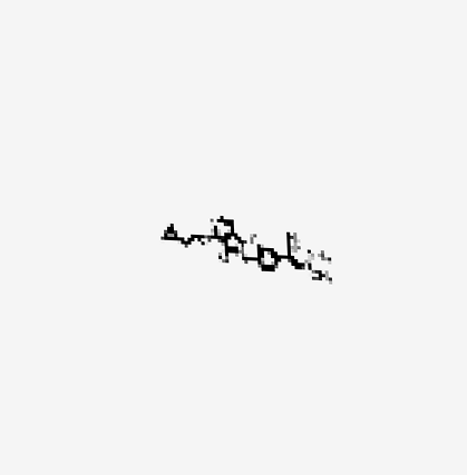 CN(N)/C=C(\N)c1ccc(CN2Cc3ccnc(OCCC4CC4)c3C2=O)c(F)c1